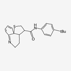 CC(C)(C)c1ccc(NC(=O)C2CSC34C=CC=CC3=NCCC24)cc1